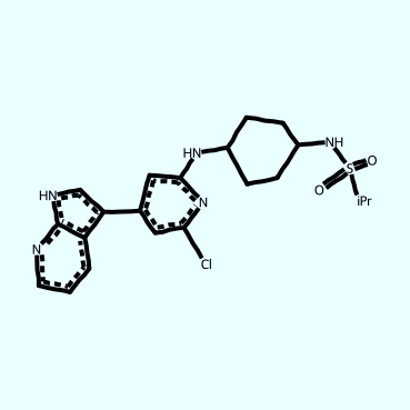 CC(C)S(=O)(=O)NC1CCC(Nc2cc(-c3c[nH]c4ncccc34)cc(Cl)n2)CC1